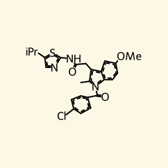 COc1ccc2c(c1)c(CC(=O)Nc1ncc(C(C)C)s1)c(C)n2C(=O)c1ccc(Cl)cc1